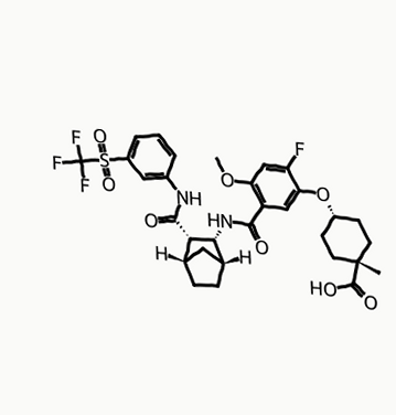 COc1cc(F)c(O[C@H]2CC[C@@](C)(C(=O)O)CC2)cc1C(=O)N[C@@H]1[C@@H]2CC[C@@H](C2)[C@@H]1C(=O)Nc1cccc(S(=O)(=O)C(F)(F)F)c1